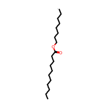 [CH2]CCCCCCCOC(=O)CCCCCCCCCC